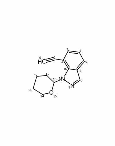 C#Cc1cccc2cnn(C3CCCCO3)c12